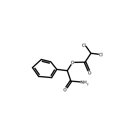 NC(=O)C(OC(=O)C(Cl)Cl)c1ccccc1